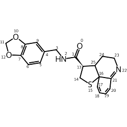 O=C(NCc1ccc2c(c1)OCO2)[C@@H]1CSC23C=CC=CC2=NCCC13